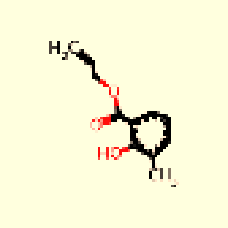 C=CCOC(=O)c1cccc(C)c1O